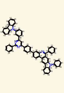 c1ccc(-c2nc(-c3ccc(-c4ccc5c(c4)nc(-c4ccccc4)c4cc6c(cc45)c4ccccc4n6-c4ccccc4)cc3)cc(-c3cccc(-n4c5ccccc5c5ccccc54)c3)n2)cc1